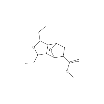 CCC1OC(CC)C2C3OC(CC3C(=O)OC)C12